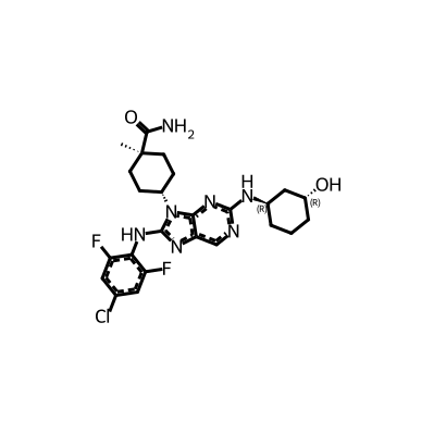 C[C@]1(C(N)=O)CC[C@H](n2c(Nc3c(F)cc(Cl)cc3F)nc3cnc(N[C@@H]4CCC[C@@H](O)C4)nc32)CC1